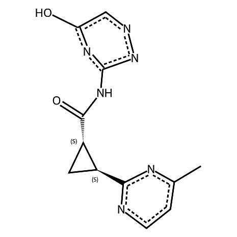 Cc1ccnc([C@H]2C[C@@H]2C(=O)Nc2nncc(O)n2)n1